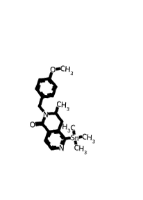 COc1ccc(CN2C(=O)c3ccn[c]([Sn]([CH3])([CH3])[CH3])c3CC2C)cc1